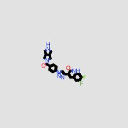 O=C(c1ccc(-n2cc(-c3cc4cc(F)c(F)cc4[nH]c3=O)nn2)cc1)N1CC2CNCC2C1